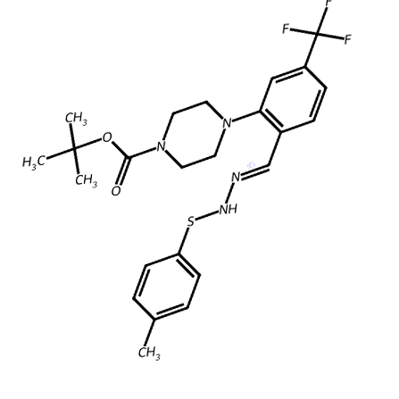 Cc1ccc(SN/N=C/c2ccc(C(F)(F)F)cc2N2CCN(C(=O)OC(C)(C)C)CC2)cc1